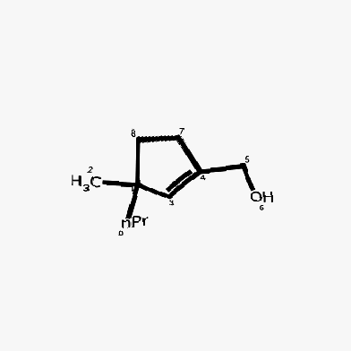 CCCC1(C)C=C(CO)CC1